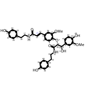 COc1cc([C@@H](O)[C@@H](Oc2ccc(/C=C/C(=O)NCCc3ccc(O)cc3)cc2OC)C(=O)NCCc2ccc(O)cc2)ccc1O